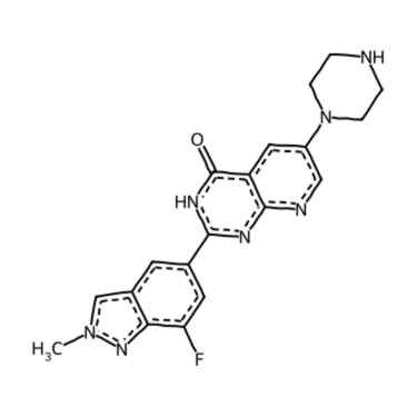 Cn1cc2cc(-c3nc4ncc(N5CCNCC5)cc4c(=O)[nH]3)cc(F)c2n1